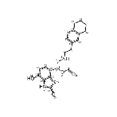 O=CO[C@@H](CNCCc1ccc2c(c1)CCCC2)c1ccc(O)c2[nH]c(=O)sc12